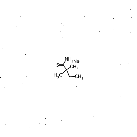 CCC(C)(C)C(N)=S.[Na]